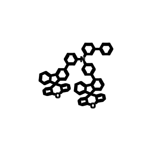 c1ccc(-c2cccc(N(c3ccc(-c4cccc5c4-c4ccccc4C54c5ccccc5Oc5ccccc54)cc3)c3cccc(-c4ccc5c(c4)-c4ccccc4C54c5ccccc5Oc5ccccc54)c3)c2)cc1